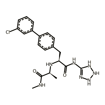 CNC(=O)[C@H](C)N[C@@H](Cc1ccc(-c2cccc(Cl)c2)cc1)C(=O)NC1=NNNN1